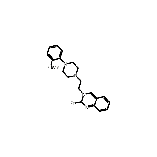 CCC1N=c2ccccc2=CN1CCN1CCN(c2ccccc2OC)CC1